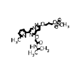 Cc1cccc(-c2cn3nc(OCCCOS(C)(=O)=O)cc3c(OCC(=O)NC(C)C)n2)n1